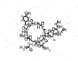 CC[C@H](C)[C@@H]1NC(=O)[C@H](Cc2ccc(O)cc2)NC(=O)CNC(=O)CC[C@@H](C(=O)N[C@@H](C)C(=O)N[C@@H](CC(C)C)C(=O)NCC(C)=O)NC(=O)[C@H](CC(N)=O)NC(=O)[C@H](CCC(N)=O)NC1=O